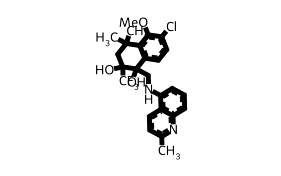 COc1c(Cl)ccc2c1C(C)(C)CC(O)(C(F)(F)F)C2(O)CNc1cccc2nc(C)ccc12